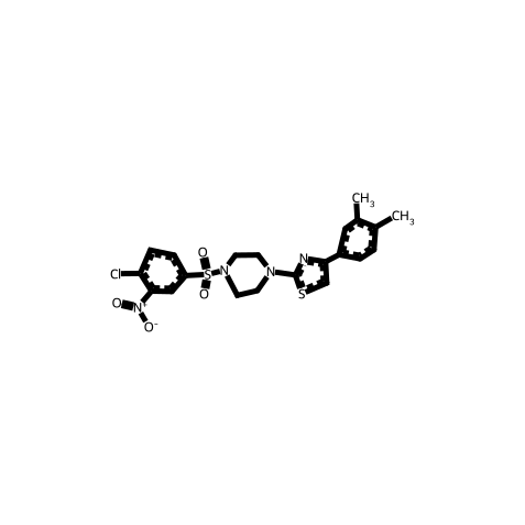 Cc1ccc(-c2csc(N3CCN(S(=O)(=O)c4ccc(Cl)c([N+](=O)[O-])c4)CC3)n2)cc1C